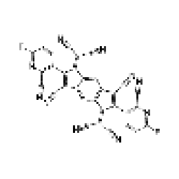 N#CC(C#N)=C1C(c2ccc(F)nc2C#N)=C(C#N)c2cc3c(cc21)C(C#N)=C(c1ccc(F)nc1C#N)C3=C(C#N)C#N